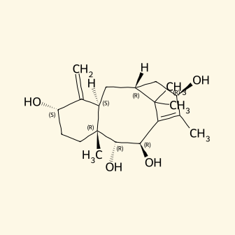 C=C1[C@H]2C[C@@H]3C[C@@H](O)C(C)=C([C@@H](O)[C@H](O)[C@]2(C)CC[C@@H]1O)C3(C)C